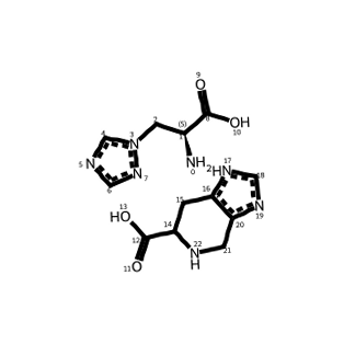 N[C@@H](Cn1cncn1)C(=O)O.O=C(O)C1Cc2[nH]cnc2CN1